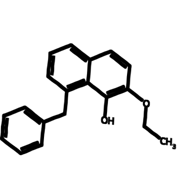 CCOc1ccc2cccc(Cc3ccccc3)c2c1O